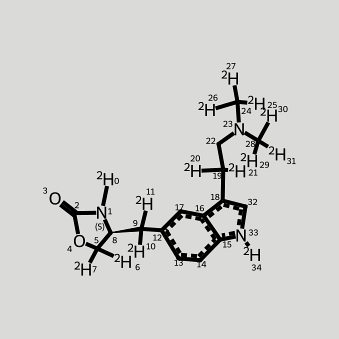 [2H]N1C(=O)OC([2H])([2H])[C@@H]1C([2H])([2H])c1ccc2c(c1)c(C([2H])([2H])CN(C([2H])([2H])[2H])C([2H])([2H])[2H])cn2[2H]